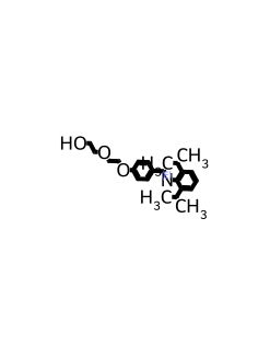 CC(C)c1cccc(C(C)C)c1/N=C/c1ccc(OCCOCCO)cc1